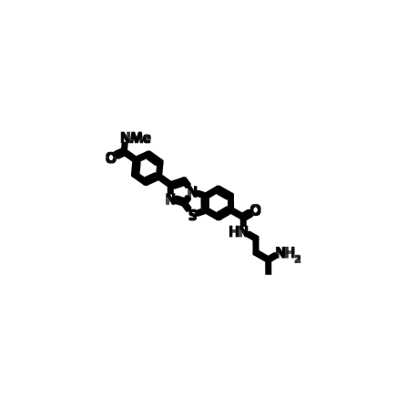 CNC(=O)c1ccc(-c2cn3c(n2)sc2cc(C(=O)NCCC(C)N)ccc23)cc1